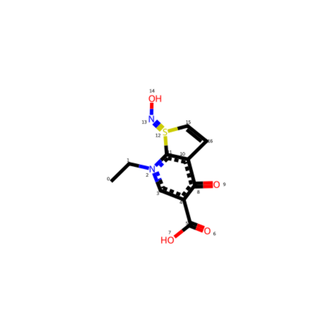 CCn1cc(C(=O)O)c(=O)c2c1S(=NO)C=C2